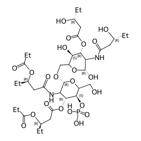 CCC(=O)O[C@H](CC)CC(=O)NC1[C@H](OCC2O[C@@H](O)C(NC(=O)C[C@H](O)CC)[C@@H](OC(=O)C[C@H](O)CC)[C@@H]2O)OC(CO)[C@@H](OP(=O)(O)O)[C@@H]1OC(=O)C[C@@H](CC)OC(=O)CC